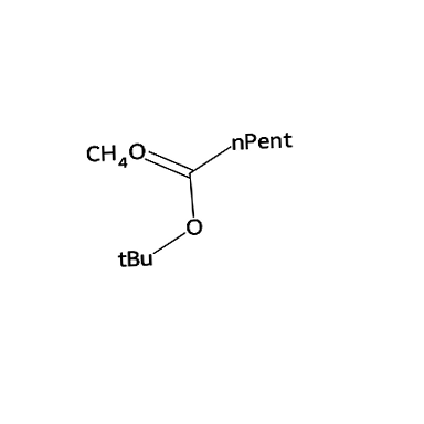 C.CCCCCC(=O)OC(C)(C)C